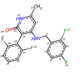 Cc1cc(NCc2ccc(F)cc2F)c(-c2c(F)cccc2F)c(=O)[nH]1